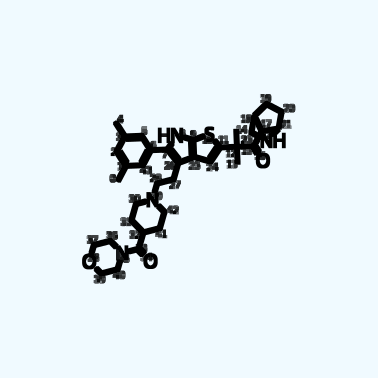 Cc1cc(C)cc(-c2[nH]c3sc(C(C)(C)C(=O)C4C5CCC4NC5)cc3c2CCN2CCC(C(=O)N3CCOCC3)CC2)c1